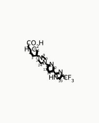 C/C=C(\C=C/CCC(=O)O)N1CCN(c2ccc(-c3nc(C(F)(F)F)c[nH]3)cn2)CC1